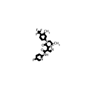 Cc1cc(N2C[C@H](C)n3ncc(C(=O)Nc4ccc(F)cn4)c3C2=O)ccc1C(F)(F)F